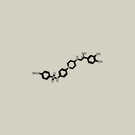 COc1ccc(S(=O)(=O)Nc2ccc(N3CCC(NC[C@@H](O)c4ccc(O)c(O)c4)CC3)cc2)cc1